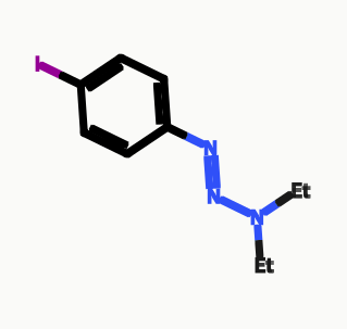 CCN(CC)/N=N/c1ccc(I)cc1